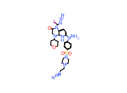 [N-]=[N+]=NCCN1CCN(S(=O)(=O)c2ccc(N(N)C3=CC=C4C(N3)N(C3CCOCC3)CC(=O)N4C(I)N=[N+]=[N-])cc2)CC1